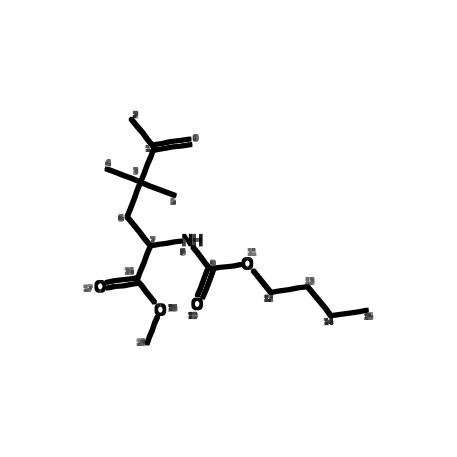 C=C(C)C(C)(C)CC(NC(=O)OCCCC)C(=O)OC